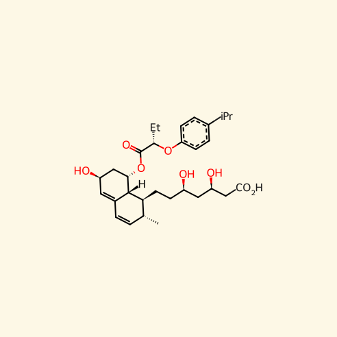 CC[C@H](Oc1ccc(C(C)C)cc1)C(=O)O[C@H]1C[C@H](O)C=C2C=C[C@@H](C)[C@H](CC[C@@H](O)C[C@@H](O)CC(=O)O)[C@H]21